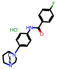 Cl.O=C(Nc1ccc(N2CCN3CCC2CC3)cc1)c1ccc(F)cc1